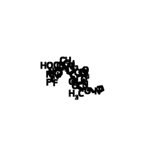 Cc1cnc([C@@H](c2ccn3c(C(F)F)nnc3c2C)C(C)(C)C(=O)O)cc1CN1CC2(CCOCC2)Oc2nc(OCCN3CCCC3)c(C)cc2S1(=O)=O